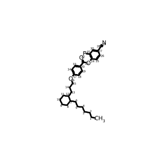 CCCCCCCC1CCCCC1CCCOc1ccc(C(=O)Oc2ccc(C#N)cc2F)cc1